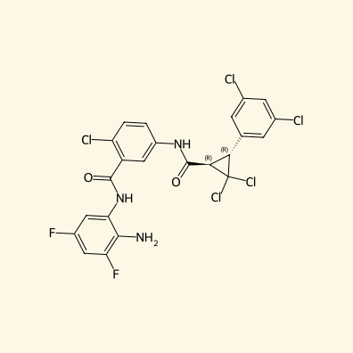 Nc1c(F)cc(F)cc1NC(=O)c1cc(NC(=O)[C@H]2[C@H](c3cc(Cl)cc(Cl)c3)C2(Cl)Cl)ccc1Cl